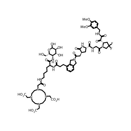 COc1ccc(CNC(=O)C(=O)[C@@H]2CC(F)(F)CN2C(=O)CNC(=O)[C@@H]2C[C@@H](CC(=O)N3Cc4cccc(CCC(=O)NC(CCCCNC(=O)CN5CCN(CC(=O)O)CCN(CC(=O)O)CCN(CC(=O)O)CC5)C(=O)N[C@@H]5[C@@H](O)[C@H](O)C(O)O[C@H]5CO)c4C3)C(=O)N2)cc1OC